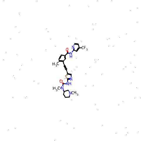 Cc1ccc(C(=O)Nc2cc(C(F)(F)F)ccn2)cc1C#Cc1cnc(NC(=O)N(C)C2CCCN(C)C2)s1